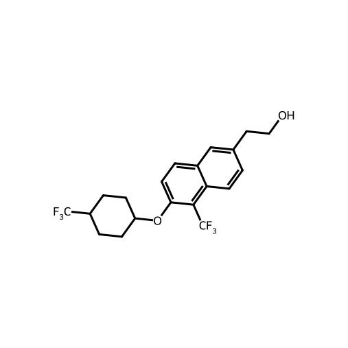 OCCc1ccc2c(C(F)(F)F)c(OC3CCC(C(F)(F)F)CC3)ccc2c1